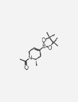 CC(=O)N1CC=C(B2OC(C)(C)C(C)(C)O2)C[C@H]1C